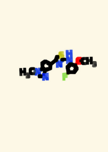 COc1ccc(F)cc1Nc1nc(-c2ccc3c(c2)ncn3C)cs1